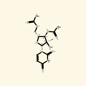 CC(C)(C)C(=O)OC[C@H]1O[C@@H](n2ccc(=O)[nH]c2=O)[C@](C)(O)[C@@H]1OC(=O)C(C)(C)C